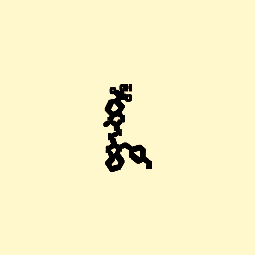 C=Cc1ccc(Cn2c(=NN=c3sc4cc(S(=O)(=O)O)ccc4n3C)sc3ccccc32)cc1